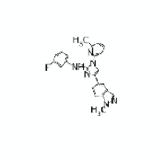 Cc1cccc(-n2cc(-c3ccc4c(cnn4C)c3)nc2CNc2cccc(F)c2)n1